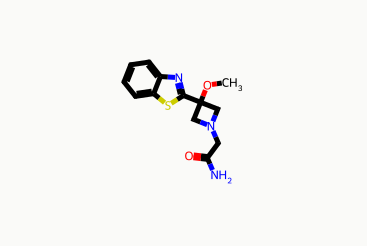 COC1(c2nc3ccccc3s2)CN(CC(N)=O)C1